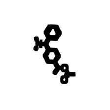 CC(=O)OC(C)C1CCC(C(c2ccccc2)N(C)C)CC1